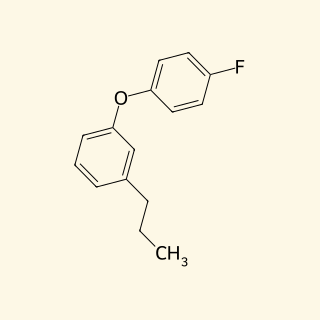 CCCc1cccc(Oc2ccc(F)cc2)c1